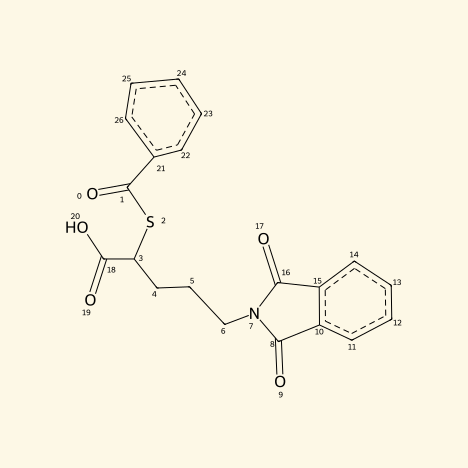 O=C(SC(CCCN1C(=O)c2ccccc2C1=O)C(=O)O)c1ccccc1